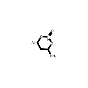 NC1CCO[PH](=O)O1.[Al]